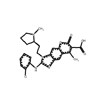 Cc1c(C(=O)O)c(=O)oc2cc3c(cc12)nc(Nc1ccccc1Cl)n3CCC1CCCN1C